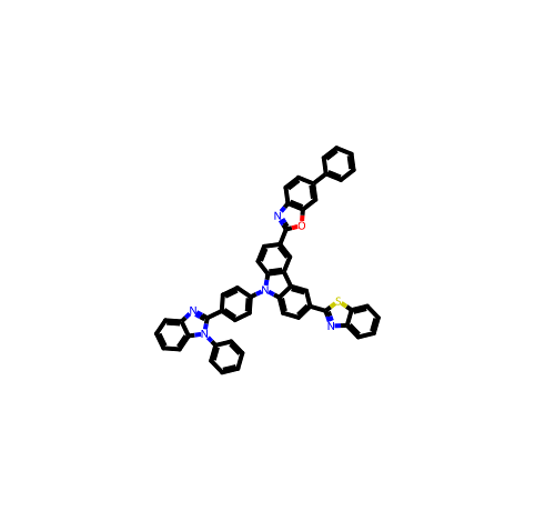 c1ccc(-c2ccc3nc(-c4ccc5c(c4)c4cc(-c6nc7ccccc7s6)ccc4n5-c4ccc(-c5nc6ccccc6n5-c5ccccc5)cc4)oc3c2)cc1